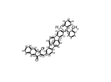 Cc1ccccc1N(c1ccc2c(c1)-c1ccc3c4c(ccc-2c14)-c1cc(C=C2C(=O)c4cc5ccccc5cc4C2=O)ccc1-3)c1ccccc1C